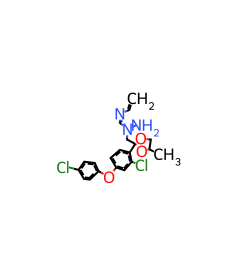 C=C/N=C\N(N)CC1(c2ccc(Oc3ccc(Cl)cc3)cc2Cl)OCC(C)O1